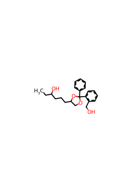 CCC(O)CCCC1COC(c2ccccc2)(c2ccccc2CO)O1